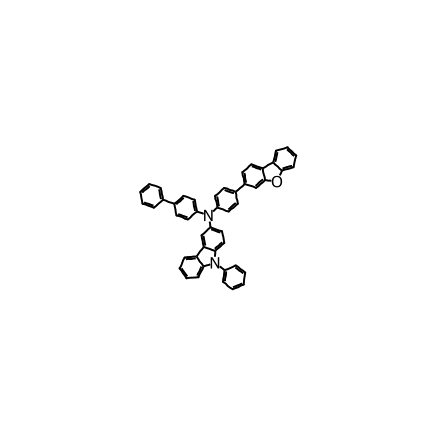 c1ccc(-c2ccc(N(c3ccc(-c4ccc5c(c4)oc4ccccc45)cc3)c3ccc4c(c3)c3ccccc3n4-c3ccccc3)cc2)cc1